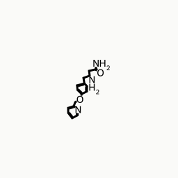 NC(=O)CC(N)Cc1ccc(OCc2ccccn2)cc1